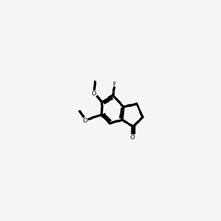 COc1cc2c(c(F)c1OC)CCC2=O